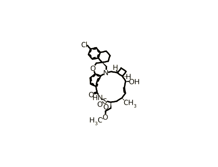 COCC[C@@H]1C[C@@H](C)/C=C/[C@H](O)[C@@H]2CC[C@H]2CN2C[C@@]3(CCCc4cc(Cl)ccc43)COc3ccc(cc32)C(=O)NS1(=O)=O